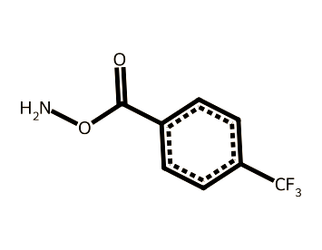 NOC(=O)c1ccc(C(F)(F)F)cc1